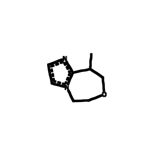 CC1COCCn2ccnc21